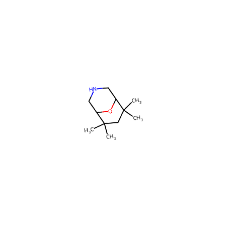 CC1(C)CC(C)(C)C2CNCC1O2